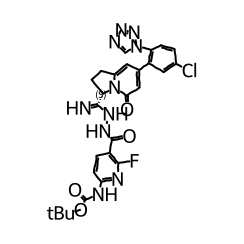 CC(C)(C)OC(=O)Nc1ccc(C(=O)NNC(=N)[C@@H]2CCc3cc(-c4cc(Cl)ccc4-n4cnnn4)cc(=O)n32)c(F)n1